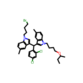 CCC(C)OCCCCn1cc(C(c2ccc(Cl)cc2Cl)c2cn(CCCCBr)c3ccc(C)cc23)c2cc(C)ccc21